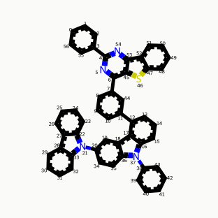 c1ccc(-c2nc(-c3cccc(-c4cccc5c4c4cc(-n6c7ccccc7c7ccccc76)ccc4n5-c4ccccc4)c3)c3sc4ccccc4c3n2)cc1